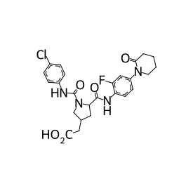 O=C(O)CC1CC(C(=O)Nc2ccc(N3CCCCC3=O)cc2F)N(C(=O)Nc2ccc(Cl)cc2)C1